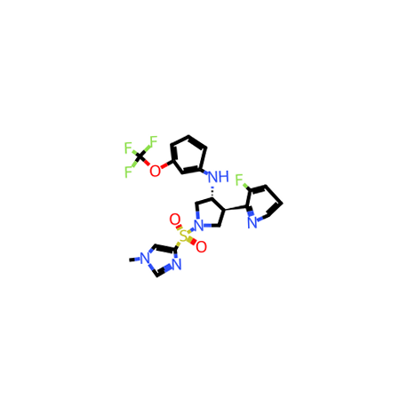 Cn1cnc(S(=O)(=O)N2C[C@H](Nc3cccc(OC(F)(F)F)c3)[C@@H](c3ncccc3F)C2)c1